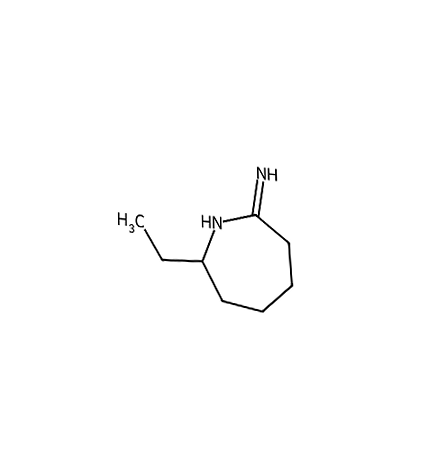 CCC1CCCCC(=N)N1